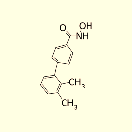 Cc1cccc(-c2ccc(C(=O)NO)cc2)c1C